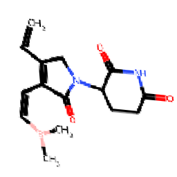 C=CC1=C(/C=C\B(C)C)C(=O)N(C2CCC(=O)NC2=O)C1